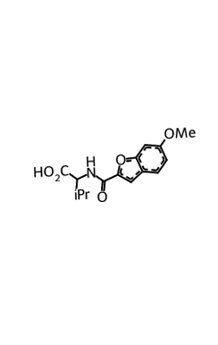 COc1ccc2cc(C(=O)NC(C(=O)O)C(C)C)oc2c1